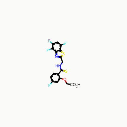 O=C(O)COc1cc(F)ccc1C(=S)NCc1nc2c(F)c(F)cc(F)c2s1